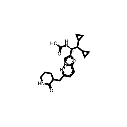 O=C(O)N[C@H](c1cn2nc(CC3CCCNC3=O)ccc2n1)C(C1CC1)C1CC1